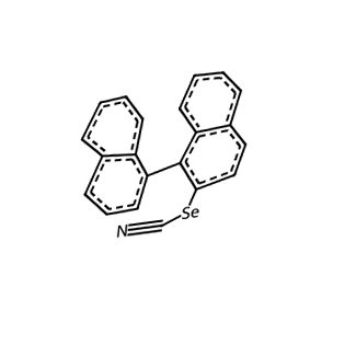 N#C[Se]c1ccc2ccccc2c1-c1cccc2ccccc12